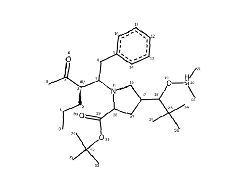 CCC[C@@H](C(C)=O)C(Cc1ccccc1)N1CC(C(O[SiH](C)C)C(C)(C)C)CC1C(=O)OC(C)(C)C